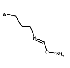 BOC=NCCCBr